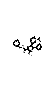 CC(C)n1cc(-c2nc(C(=O)NCc3ccccn3)c(N)nc2-c2ccccc2)ccc1=O